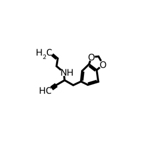 C#CC(Cc1ccc2c(c1)OCO2)NCC=C